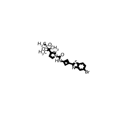 CC(C)(c1ccn(C(=O)NC23CC(c4nc5cc(Br)ccc5s4)(C2)C3)n1)S(C)(=O)=O